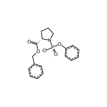 O=C(OCc1ccccc1)[C@@H]1CCCN1P(=O)(Cl)Oc1ccccc1